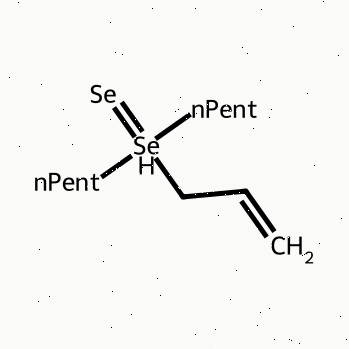 C=CC[SeH](=[Se])(CCCCC)CCCCC